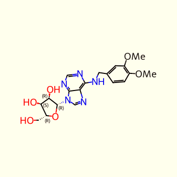 COc1ccc(CNc2ncnc3c2ncn3[C@@H]2O[C@H](CO)[C@@H](O)[C@H]2O)cc1OC